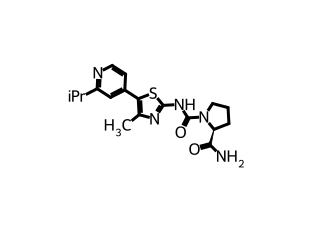 Cc1nc(NC(=O)N2CCC[C@H]2C(N)=O)sc1-c1ccnc(C(C)C)c1